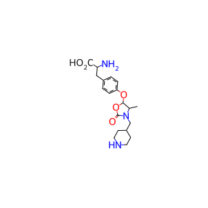 CC1C(Oc2ccc(CC(N)C(=O)O)cc2)OC(=O)N1CC1CCNCC1